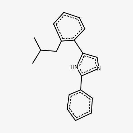 CC(C)Cc1cc[c]cc1-c1cnc(-c2ccccc2)[nH]1